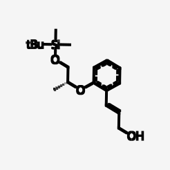 C[C@H](CO[Si](C)(C)C(C)(C)C)Oc1ccccc1/C=C/CO